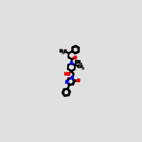 CC(CC(=O)N1CC[C@@](O)(Cn2cnc(-c3ccccc3)cc2=O)CC1(C)C)c1ccccc1